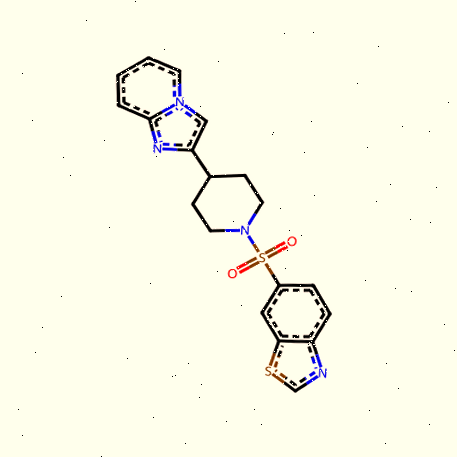 O=S(=O)(c1ccc2ncsc2c1)N1CCC(c2cn3ccccc3n2)CC1